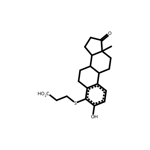 CC12CCC3c4ccc(O)c(SCCC(=O)O)c4CCC3C1CCC2=O